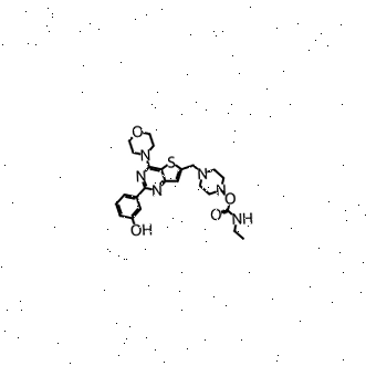 CCNC(=O)ON1CCN(Cc2cc3nc(-c4cccc(O)c4)nc(N4CCOCC4)c3s2)CC1